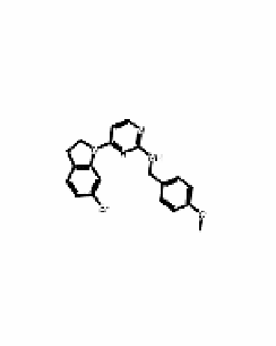 COc1ccc(CNc2nccc(N3CCc4ccc(Br)cc43)n2)cc1